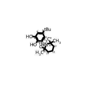 CC(C)(C)c1ccc(O)c(O)c1.CC1(C)CCCC(C)(C)N1